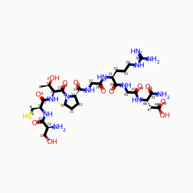 C[C@@H](O)[C@H](NC(=O)[C@H](CS)NC(=O)[C@@H](N)CO)C(=O)N1CCC[C@H]1C(=O)NCC(=O)N[C@@H](CCCNC(=N)N)C(=O)NCC(=O)N[C@@H](CC(=O)O)C(N)=O